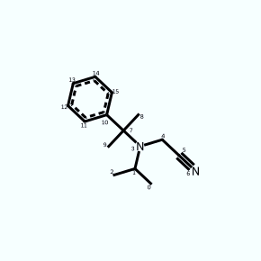 CC(C)N(CC#N)C(C)(C)c1ccccc1